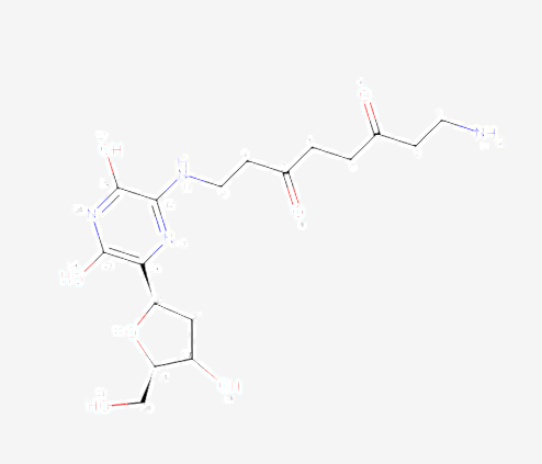 NCCC(=O)CCC(=O)CCNc1nc([C@H]2CC(O)[C@@H](CO)O2)c(O)nc1O